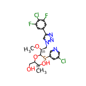 CO[C@@H](Cn1cc(-c2cc(F)c(Cl)c(F)c2)nn1)C(OC(CO)[C@@H](C)O)Sc1cncc(Cl)c1